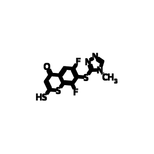 Cn1cnnc1Sc1c(F)cc2c(=O)cc(S)sc2c1F